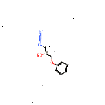 [N-]=[N+]=NC[C@@H](O)COc1ccccc1